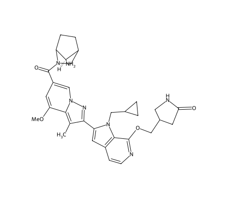 COc1cc(C(=O)N2CC3CCC2[C@@H]3N)cn2nc(-c3cc4ccnc(OCC5CNC(=O)C5)c4n3CC3CC3)c(C)c12